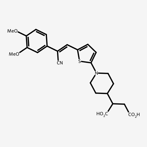 COc1ccc(C(C#N)=Cc2ccc(N3CCC(C(CC(=O)O)C(=O)O)CC3)s2)cc1OC